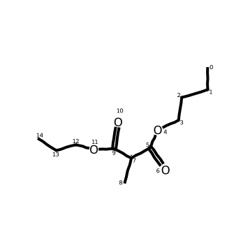 CCCCOC(=O)[C](C)C(=O)OCCC